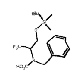 CC(C)(C)[Si](C)(C)OCC(N(Cc1ccccc1)C(=O)O)C(F)(F)F